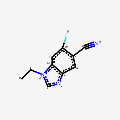 CCn1cnc2cc(C#N)c(F)cc21